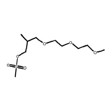 COCCOCCOCC(C)COS(C)(=O)=O